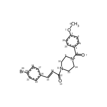 COc1ccc(C(=O)N2CCN(C(=O)C=Cc3ccc(Br)cc3)CC2)cc1